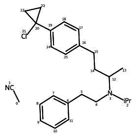 CC#N.CC(C)N(CCc1ccccc1)C(C)CCc1ccc(C2(Cl)CC2)cc1